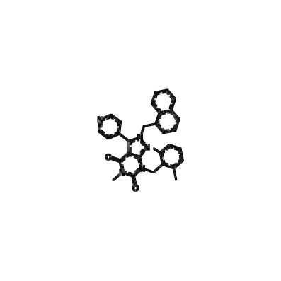 Cc1cccc(C)c1Cn1c(=O)n(C)c(=O)c2c(-c3ccncc3)n(Cc3cccc4ccccc34)nc21